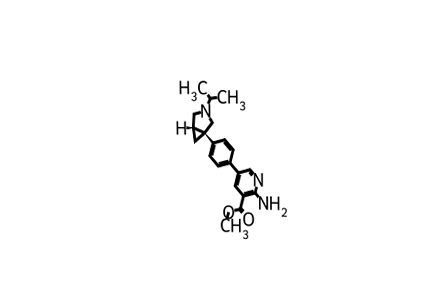 COC(=O)c1cc(-c2ccc([C@@]34C[C@@H]3CN(C(C)C)C4)cc2)cnc1N